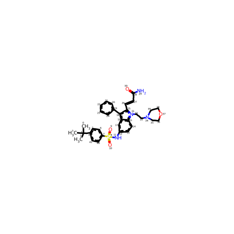 CC(C)(C)c1ccc(S(=O)(=O)Nc2ccc3c(c2)c(-c2ccccc2)c(/C=C/C(N)=O)n3CCN2CCOCC2)cc1